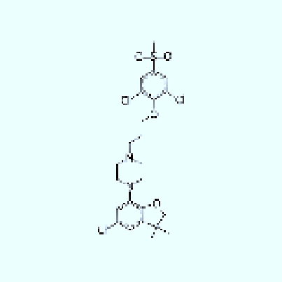 CC1(C)COc2c(N3CCN(CCCOc4c(Cl)cc(S(C)(=O)=O)cc4Cl)CC3)cc(Cl)cc21